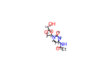 CCC(=O)Nc1ccn(C2COC(CO)O2)c(=O)n1